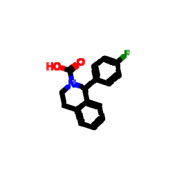 O=C(O)N1CCc2ccccc2C1c1ccc(F)cc1